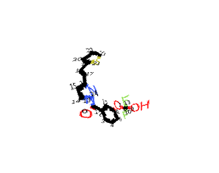 O=C(c1cccc(OC(O)(F)F)c1)n1ccc(/C=C/c2cccs2)n1